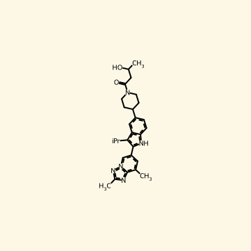 Cc1nc2c(C)cc(-c3[nH]c4ccc(C5CCN(C(=O)CC(C)O)CC5)cc4c3C(C)C)cn2n1